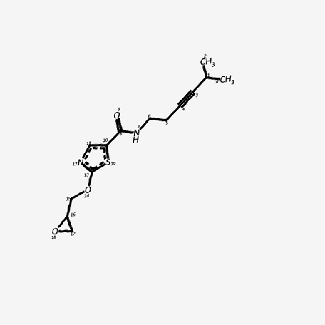 CC(C)C#CCCNC(=O)c1cnc(OCC2CO2)s1